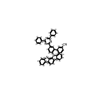 N#Cc1cccc(-c2cc(-c3nc(-c4ccccc4)nc(-c4ccccc4)n3)ccc2-n2c3ccccc3c3ccc4c5ccccc5sc4c32)c1